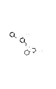 COc1cc(CCOC2CCCCC2N2C(=O)C[C@@H](OC(C)=O)C2=O)ccc1OCc1ccccc1